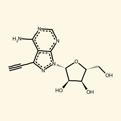 C#Cc1nn([C@@H]2O[C@H](CO)[C@@H](O)[C@H]2O)c2ncnc(N)c12